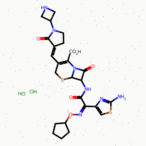 Cl.Cl.Nc1nc(/C(=N/OC2CCCC2)C(=O)NC2C(=O)N3C(C(=O)O)=C(C=C4CCN(C5CNC5)C4=O)CSC23)cs1